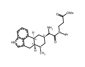 COC(=O)CCN(C(=O)C(N)[C@@H]1C[C@@H]2c3cccc4[nH]cc(c34)C[C@H]2N(C)C1)C(C)C